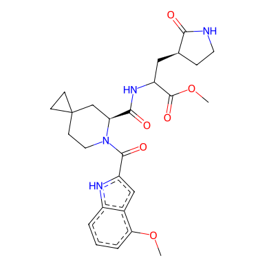 COC(=O)C(C[C@@H]1CCNC1=O)NC(=O)[C@@H]1CC2(CCN1C(=O)c1cc3c(OC)cccc3[nH]1)CC2